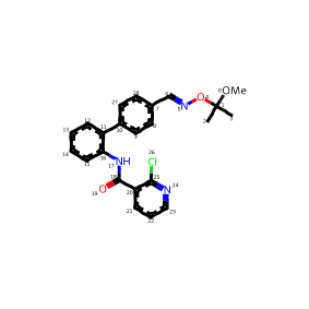 COC(C)(C)O/N=C/c1ccc(-c2ccccc2NC(=O)c2cccnc2Cl)cc1